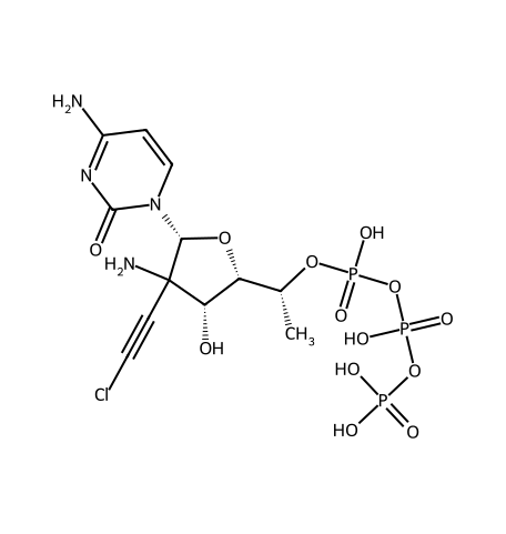 C[C@@H](OP(=O)(O)OP(=O)(O)OP(=O)(O)O)[C@H]1O[C@@H](n2ccc(N)nc2=O)C(N)(C#CCl)[C@H]1O